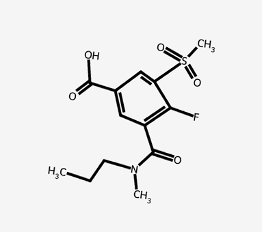 CCCN(C)C(=O)c1cc(C(=O)O)cc(S(C)(=O)=O)c1F